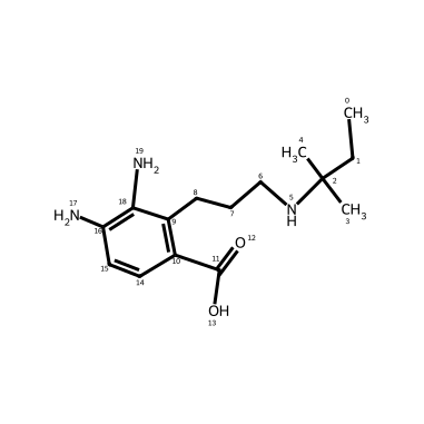 CCC(C)(C)NCCCc1c(C(=O)O)ccc(N)c1N